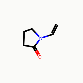 [CH]=CN1CCCC1=O